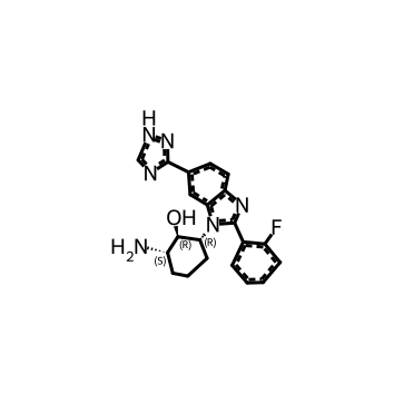 N[C@H]1CCC[C@@H](n2c(-c3ccccc3F)nc3ccc(-c4nc[nH]n4)cc32)[C@@H]1O